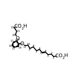 O=C(O)CCCC=CCCCCCCOc1ccccc1OCCCC(=O)O